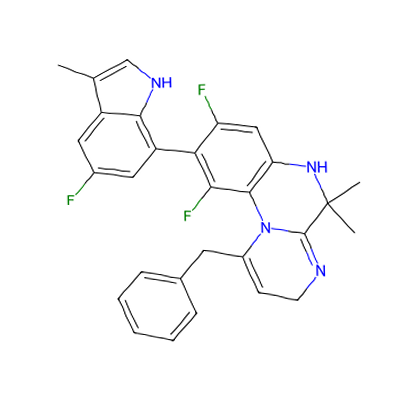 Cc1c[nH]c2c(-c3c(F)cc4c(c3F)N3C(Cc5ccccc5)=CCN=C3C(C)(C)N4)cc(F)cc12